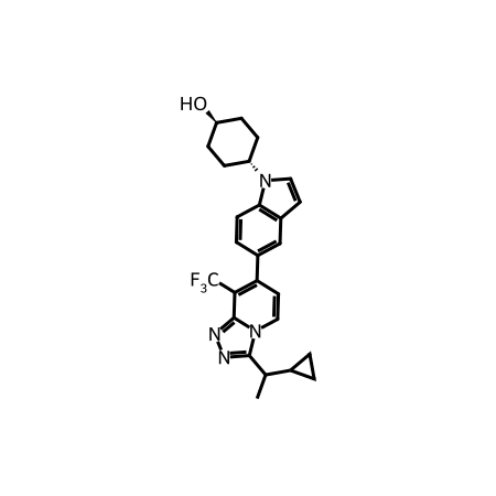 CC(c1nnc2c(C(F)(F)F)c(-c3ccc4c(ccn4[C@H]4CC[C@H](O)CC4)c3)ccn12)C1CC1